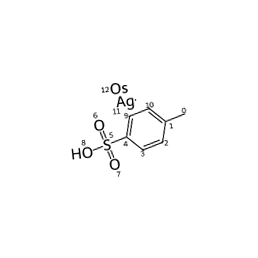 Cc1ccc(S(=O)(=O)O)cc1.[Ag].[Os]